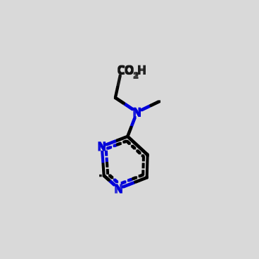 CN(CC(=O)O)c1ccn[c]n1